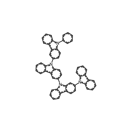 c1ccc(-n2c3ccccc3c3cc(-n4c5ccccc5c5cc(-n6c7ccccc7c7ccc(-n8c9ccccc9c9ccccc98)cc76)ccc54)ccc32)cc1